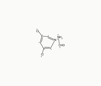 Clc1cncc(Cl)c1.NC=O